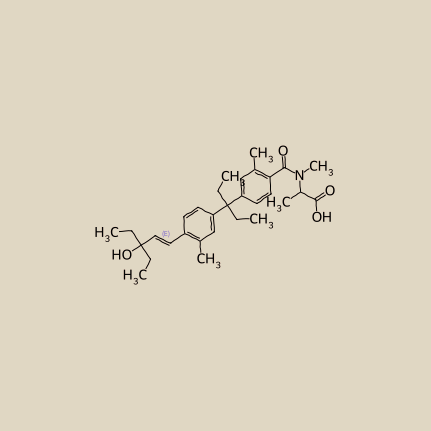 CCC(O)(/C=C/c1ccc(C(CC)(CC)c2ccc(C(=O)N(C)C(C)C(=O)O)c(C)c2)cc1C)CC